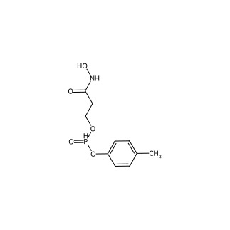 Cc1ccc(O[PH](=O)OCCC(=O)NO)cc1